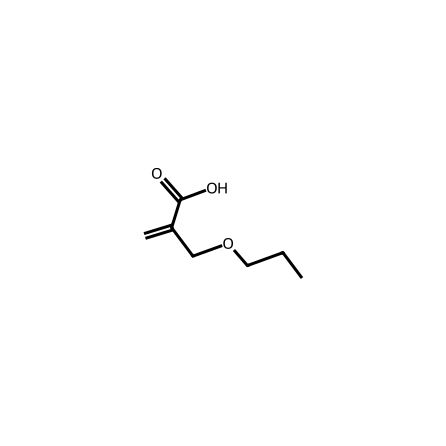 C=C(COCCC)C(=O)O